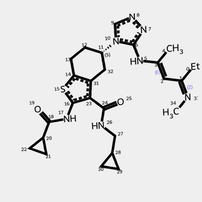 CCC(/C=C(\C)Nc1nncn1[C@H]1CCc2sc(NC(=O)C3CC3)c(C(=O)NCC3CC3)c2C1)=N/C